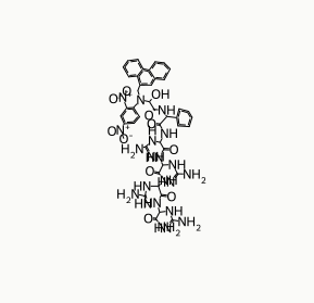 N=C(N)NC(NC(=O)C(NC(=N)N)NC(=O)C(NC(=N)N)NC(=O)C(NC(=N)N)NC(=O)C(NC(=O)C(O)N(Cc1cc2ccccc2c2ccccc12)c1ccc([N+](=O)[O-])cc1[N+](=O)[O-])c1ccccc1)C(N)=O